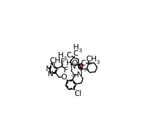 Cn1nnc(COc2ccc(Cl)c3c2[C@@H](CN2CC(C)(C)CC2=O)N(C(=O)[C@@H]2CCCC[C@]2(C)C(=O)O)CC3)c1C(F)F